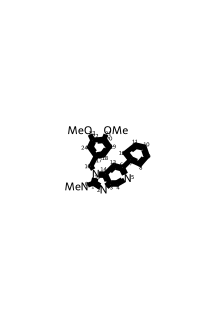 CNc1nc2cnc(-c3ccccc3)cc2n1Cc1ccc(OC)c(OC)c1